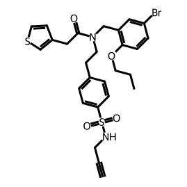 C#CCNS(=O)(=O)c1ccc(CCN(Cc2cc(Br)ccc2OCCC)C(=O)Cc2ccsc2)cc1